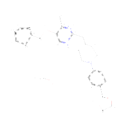 CC(C)(C)OC=O.Cc1nc(CC2CCN(c3ccc(C4OCCO4)cc3)CC2)ncc1OCc1ccccc1